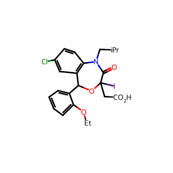 CCOc1ccccc1C1OC(I)(CC(=O)O)C(=O)N(CC(C)C)c2ccc(Cl)cc21